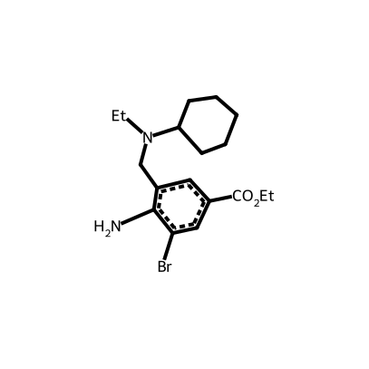 CCOC(=O)c1cc(Br)c(N)c(CN(CC)C2CCCCC2)c1